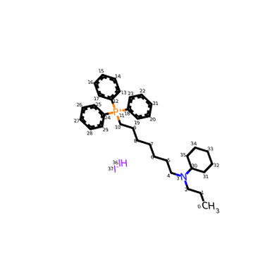 CCCN(CCCCCCC[P+](c1ccccc1)(c1ccccc1)c1ccccc1)C1CCCCC1.I.[I-]